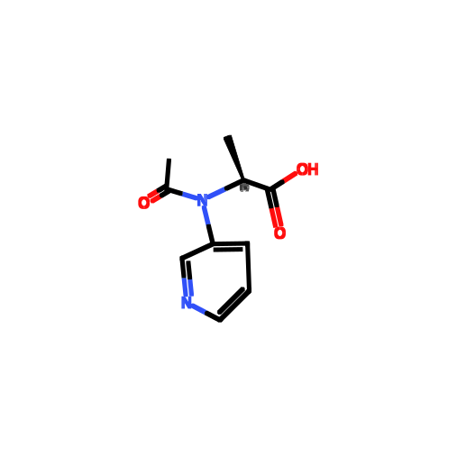 CC(=O)N(c1cccnc1)[C@@H](C)C(=O)O